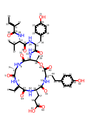 C/C=C1\NC(=O)[C@H](C)NC(=O)[C@@H](NC(=O)[C@@H](Cc2ccc(O)cc2)NC(=O)[C@@H](NC(=O)/C(C)=C/C)C(C)C)[C@@H](C)OC(=O)[C@H](CCc2ccc(O)cc2)NC(=O)[C@@H](CCC(=O)O)NC1=O